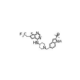 CP(C)(=O)c1cc2cc(CN3CCC(Nc4ncnc5sc(CC(F)(F)F)cc45)CC3)ccc2[nH]1